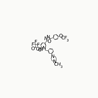 CN1CCN(c2cccc(Cn3cc(-c4nnc(-c5ccc(OC(F)(F)F)cc5)o4)ccc3=O)c2)CC1.O=C(O)C(F)(F)F